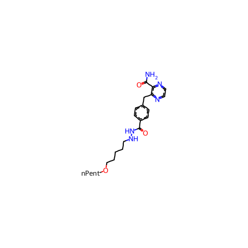 CCCCCOCCCCCNNC(=O)c1ccc(Cc2nccnc2C(N)=O)cc1